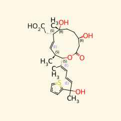 C/C(=C\C=C\C(C)(O)c1cccs1)[C@H]1OC(=O)C[C@H](O)CC[C@@](C)(O)[C@@H](CC(=O)O)/C=C/[C@@H]1C